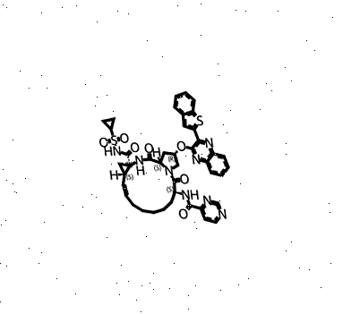 O=C(N[C@H]1CCCCCC=C[C@@H]2C[C@@]2(C(=O)NS(=O)(=O)C2CC2)NC(=O)[C@@H]2C[C@@H](Oc3nc4ccccc4nc3-c3cc4ccccc4s3)CN2C1=O)c1ccncn1